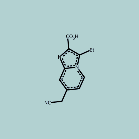 CCc1c(C(=O)O)nc2cc(CC#N)ccn12